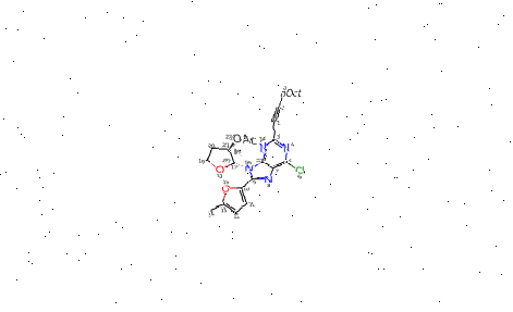 CCCCCCCCC#Cc1nc(Cl)c2nc(-c3ccc(C)o3)n([C@@H]3OCC[C@H]3OC(C)=O)c2n1